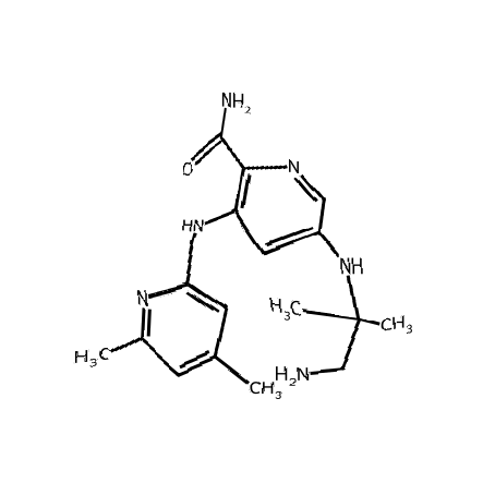 Cc1cc(C)nc(Nc2cc(NC(C)(C)CN)cnc2C(N)=O)c1